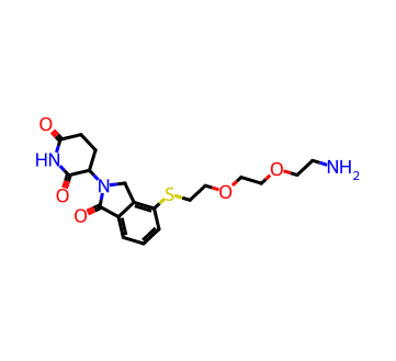 NCCOCCOCCSc1cccc2c1CN(C1CCC(=O)NC1=O)C2=O